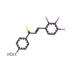 CCCCCCCCc1ccc(C(=S)C=Cc2ccc(I)c(I)c2I)cc1